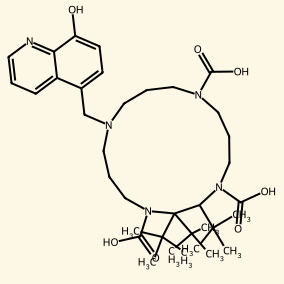 CC(C)(C)C1N(C(=O)O)CCCN(C(=O)O)CCCN(Cc2ccc(O)c3ncccc23)CCCN(C(=O)O)C1(C(C)(C)C)C(C)(C)C